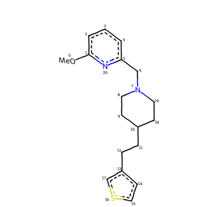 COc1cccc(CN2CCC(CCc3ccsc3)CC2)n1